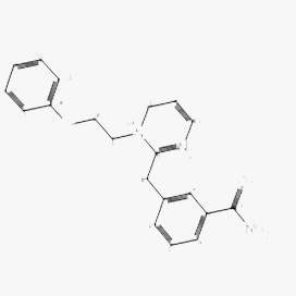 NC(=O)c1cccc(CC2=NC=CCN2CCOc2ccccc2)c1